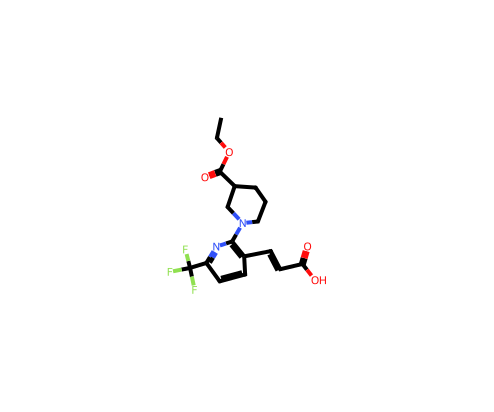 CCOC(=O)C1CCCN(c2nc(C(F)(F)F)ccc2C=CC(=O)O)C1